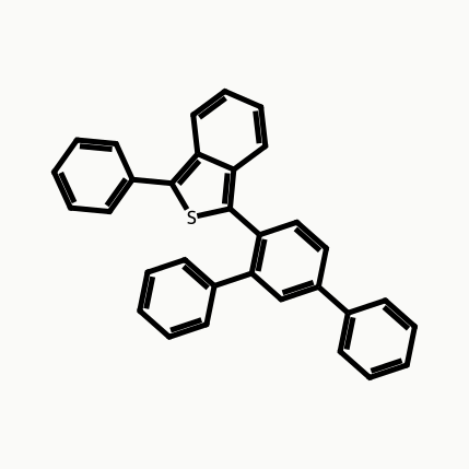 c1ccc(-c2ccc(-c3sc(-c4ccccc4)c4ccccc34)c(-c3ccccc3)c2)cc1